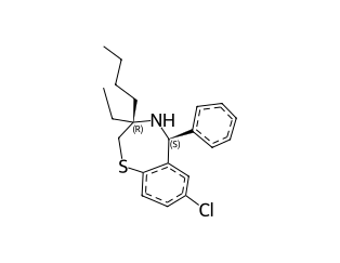 CCCC[C@]1(CC)CSc2ccc(Cl)cc2[C@H](c2ccccc2)N1